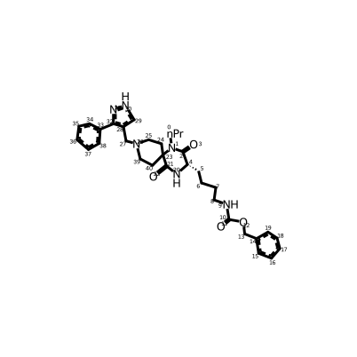 CCCN1C(=O)[C@H](CCCCNC(=O)OCc2ccccc2)NC(=O)C12CCN(Cc1c[nH]nc1-c1ccccc1)CC2